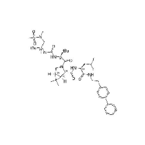 CN(C[C@@H](NC(=O)N[C@H](C(=O)N1C[C@H]2[C@@H]([C@H]1C(=O)N[C@@H](CC(F)F)C(=O)NCCc1ccc(-c3ccccc3)cc1)C2(C)C)C(C)(C)C)C(C)(C)C)S(C)(=O)=O